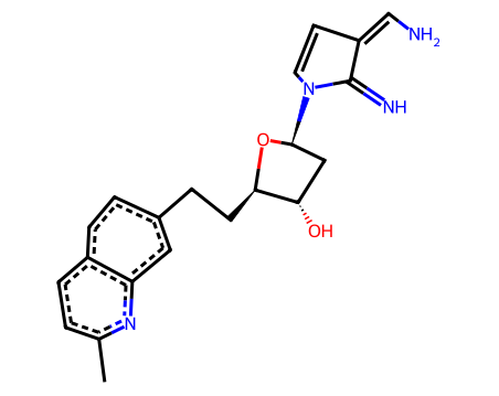 Cc1ccc2ccc(CC[C@H]3O[C@@H](N4C=C/C(=C/N)C4=N)C[C@@H]3O)cc2n1